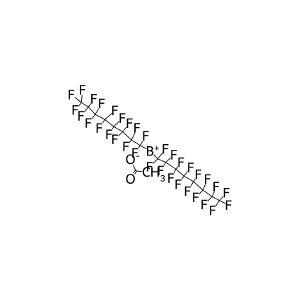 CC(=O)[O-].FC(F)(F)C(F)(F)C(F)(F)C(F)(F)C(F)(F)C(F)(F)C(F)(F)C(F)(F)[B+]C(F)(F)C(F)(F)C(F)(F)C(F)(F)C(F)(F)C(F)(F)C(F)(F)C(F)(F)F